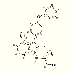 Cc1c(-c2ccc(Oc3ccccc3)cc2)c2c(N)ncnc2n1C(C)/C(N)=N/O